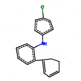 Clc1ccc(Nc2ccccc2C2=CC=CCC2)cc1